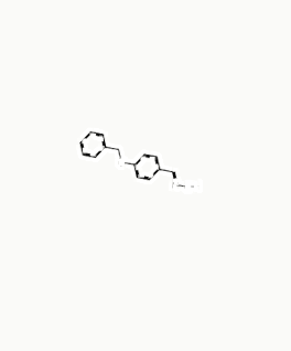 ON=Cc1ccc(OCc2ccccc2)cc1